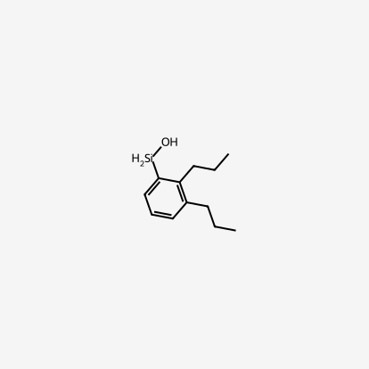 CCCc1cccc([SiH2]O)c1CCC